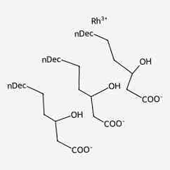 CCCCCCCCCCCCC(O)CC(=O)[O-].CCCCCCCCCCCCC(O)CC(=O)[O-].CCCCCCCCCCCCC(O)CC(=O)[O-].[Rh+3]